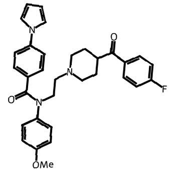 COc1ccc(N(CCN2CCC(C(=O)c3ccc(F)cc3)CC2)C(=O)c2ccc(-n3cccc3)cc2)cc1